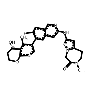 Cc1c(-c2cc3cc(Nc4cc5n(n4)CC(=O)N(C)CC5)ncc3cc2F)cnc2c1[C@@H](O)CCO2